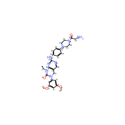 CCN1C(=O)N(c2cc(OC)cc(OC)c2)Cc2cnc(Nc3ccc(N4CCN(C(=O)CN)CC4)cc3)nc21